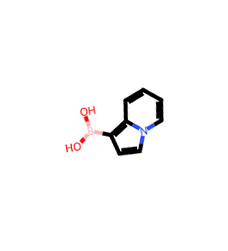 OB(O)c1ccn2ccccc12